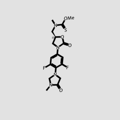 COC(=S)N(C)C[C@@H]1CN(c2cc(F)c(N3CC(=O)N(C)C3)c(F)c2)C(=O)O1